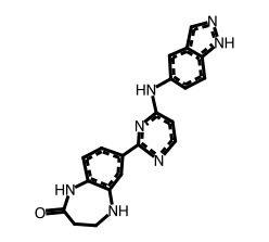 O=C1CCNc2cc(-c3nccc(Nc4ccc5[nH]ncc5c4)n3)ccc2N1